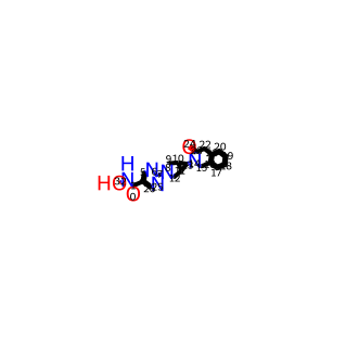 O=C(NO)c1cnc(N2CC3C(C2)C3N2Cc3ccccc3CC2=O)nc1